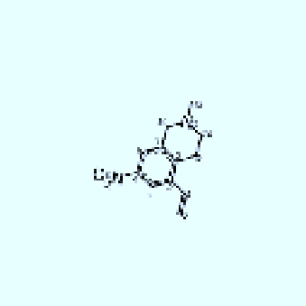 C=Cc1cc([N+](=O)[O-])cc2c1CCN(C)C2